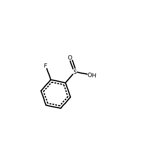 O=S(O)c1ccccc1F